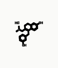 CN(C)CC1=C(Cc2cccc(O)c2)c2ccc(O)cc2CC1.Cl